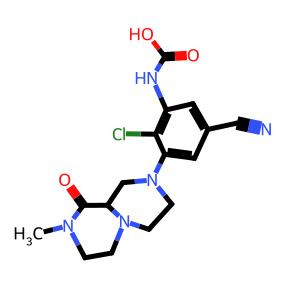 CN1CCN2CCN(c3cc(C#N)cc(NC(=O)O)c3Cl)CC2C1=O